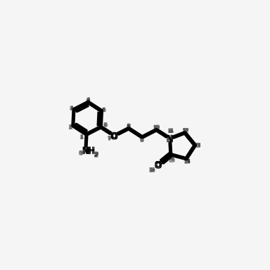 Nc1ccccc1OCCCN1CCCC1=O